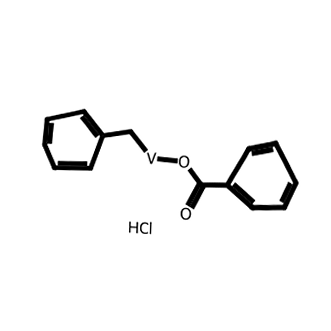 Cl.O=C([O][V][CH2]c1ccccc1)c1ccccc1